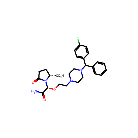 NC(=O)[C@H](OCCN1CCN(C(c2ccccc2)c2ccc(Cl)cc2)CC1)N1C(=O)CC[C@@H]1C(=O)O